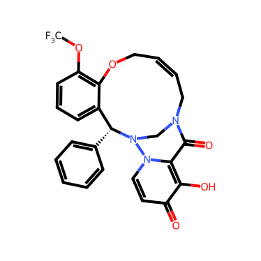 O=C1c2c(O)c(=O)ccn2N2CN1C/C=C\COc1c(OC(F)(F)F)cccc1[C@H]2c1ccccc1